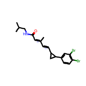 CC(/C=C/C1CC1c1ccc(Br)c(Br)c1)=C\C(=O)NCC(C)C